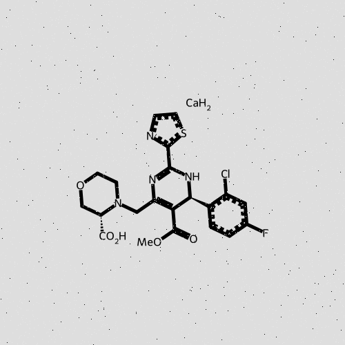 COC(=O)C1=C(CN2CCOC[C@H]2C(=O)O)N=C(c2nccs2)N[C@H]1c1ccc(F)cc1Cl.[CaH2]